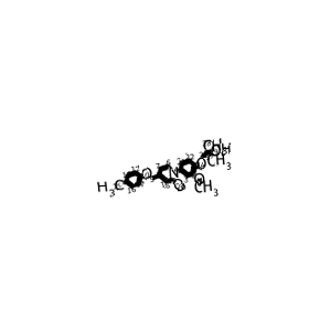 COc1cc(-n2ccc(COc3ccc(C)cc3)cc2=O)ccc1OCC(C)(C)O